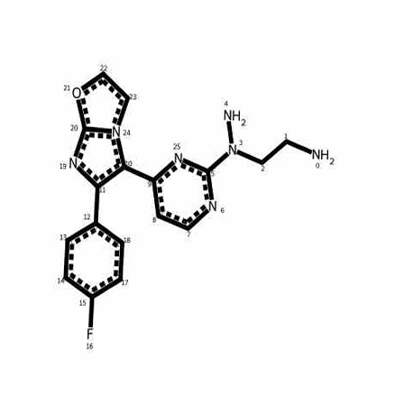 NCCN(N)c1nccc(-c2c(-c3ccc(F)cc3)nc3occn23)n1